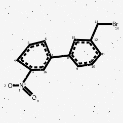 O=[N+]([O-])c1cccc(-c2cccc(CBr)c2)c1